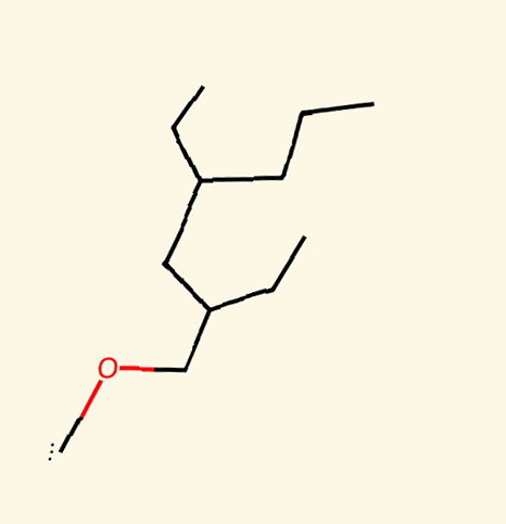 [C]OCC(CC)CC(CC)CCC